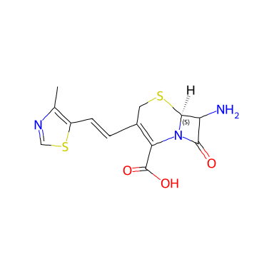 Cc1ncsc1C=CC1=C(C(=O)O)N2C(=O)C(N)[C@@H]2SC1